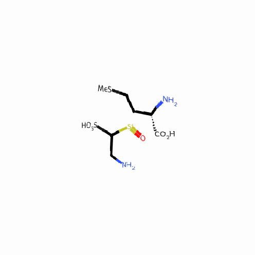 CSCC[C@H](N)C(=O)O.NCC([S+]=O)S(=O)(=O)O